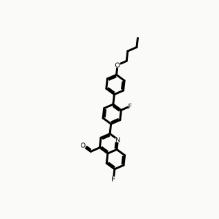 CCCCOc1ccc(-c2ccc(-c3cc(C=O)c4cc(F)ccc4n3)cc2F)cc1